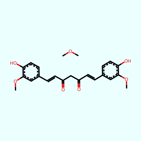 COC.COc1cc(/C=C/C(=O)CC(=O)/C=C/c2ccc(O)c(OC)c2)ccc1O